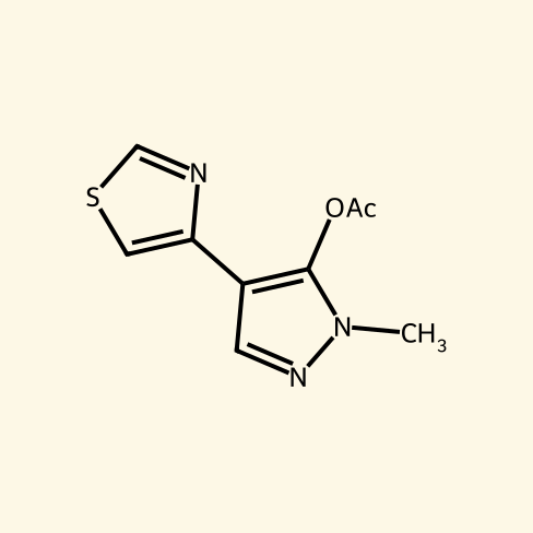 CC(=O)Oc1c(-c2cscn2)cnn1C